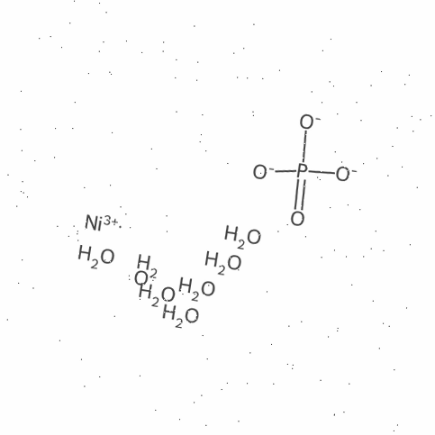 O.O.O.O.O.O.O.O=P([O-])([O-])[O-].[Ni+3]